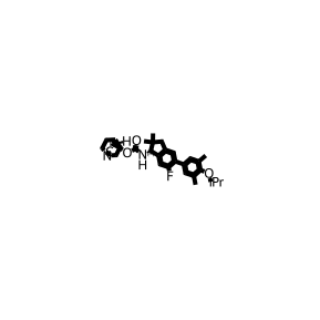 Cc1cc(-c2cc3c(cc2F)[C@H](NC(=O)O[C@@H]2CN4CCC2CC4)C(C)(C)C3)cc(C)c1OC(C)C